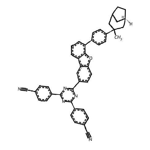 CC1(c2ccc(-c3cccc4c3oc3ccc(-c5nc(-c6ccc(C#N)cc6)nc(-c6ccc(C#N)cc6)n5)cc34)cc2)CC2CC[C@H](C2)C1